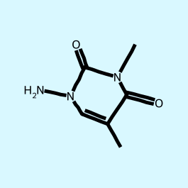 Cc1cn(N)c(=O)n(C)c1=O